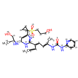 C=C/C(=C\C=C(/C)NC(=O)Nc1ccccn1)C1=NC(C2(S(=O)(=O)CCCO)CC2)=C[C@@H](N[C@@H](C)CO)N1